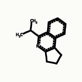 CC(C)c1nc2c(c3ccccc13)CCC2